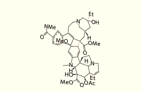 CC[C@]1(O)C[C@H]2CN(CCC3=C(Cc4ccc(C(=O)NC)cc43)[C@@](C(=O)OC)(C3C=C4C(=CC3OC)N(C)[C@H]3[C@@](O)(C(=O)OC)[C@H](OC(C)=O)[C@]5(CC)C=CCN6CC[C@]43[C@@H]65)C2)C1